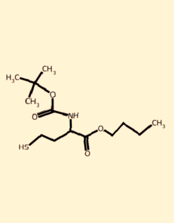 CCCCOC(=O)C(CCS)NC(=O)OC(C)(C)C